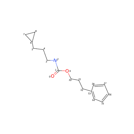 O=C([N]CCCC1CC1)OCCCc1ccccc1